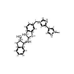 Cn1cc(-c2cn(Cc3ccc4c(c3)SC(NC3c5ccccc5C[C@H]3O)N4)cn2)cn1